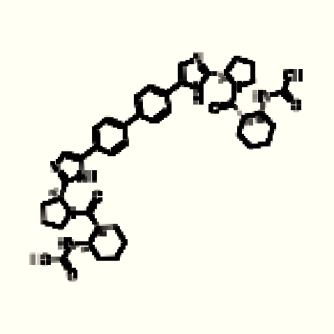 O=C(O)N[C@@H]1CCCC[C@@H]1C(=O)N1CCC[C@H]1c1ncc(-c2ccc(-c3ccc(-c4cnc([C@@H]5CCCN5C(=O)[C@H]5CCCC[C@H]5NC(=O)O)[nH]4)cc3)cc2)[nH]1